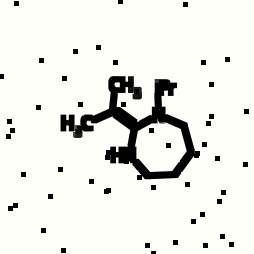 CC(C)=C1NCCCCN1C(C)C